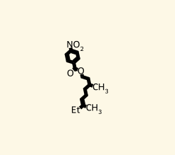 CCC(C)=CCCC(C)CCOC(=O)c1ccc([N+](=O)[O-])cc1